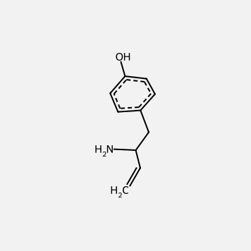 C=CC(N)Cc1ccc(O)cc1